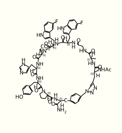 CC[C@@]12CCCN1C(=O)[C@H](Cc1ccc(O)cc1)NC(=O)[C@H](Cc1cnc[nH]1)NC(=O)[C@H](CC(=O)O)NC(=O)[C@H](Cc1c[nH]c3ccc(F)cc13)NC(=O)[C@H](Cc1c[nH]c3ccc(F)cc13)NC(=O)CNC(=O)[C@H](C)NC(=O)[C@@H](NC(C)=O)Cc1cn(nn1)-c1ccc(cc1)C[C@@H](C(N)=O)NC2=O